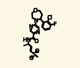 C[C@H](/C=C/S(C)(=O)=O)NC(=O)c1cnc(N2CCOCCC2c2cccc(F)c2Cl)cn1